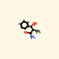 CC(C(N)=O)[C@H](O)c1ccccc1